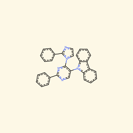 c1ccc(-c2ncc(-n3c4ccccc4c4ccccc43)c(-n3ccnc3-c3ccccc3)n2)cc1